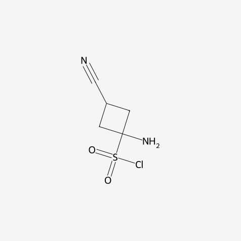 N#CC1CC(N)(S(=O)(=O)Cl)C1